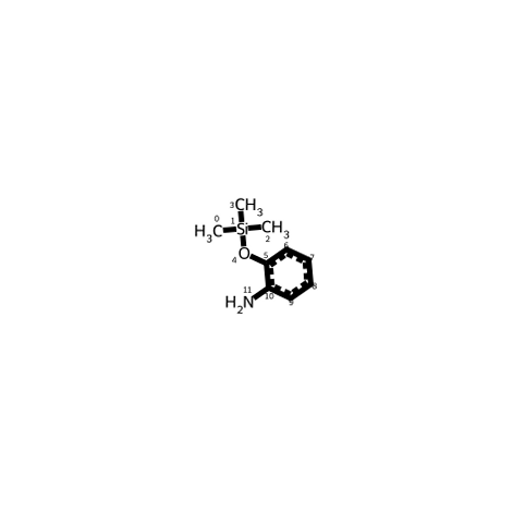 C[Si](C)(C)Oc1ccccc1N